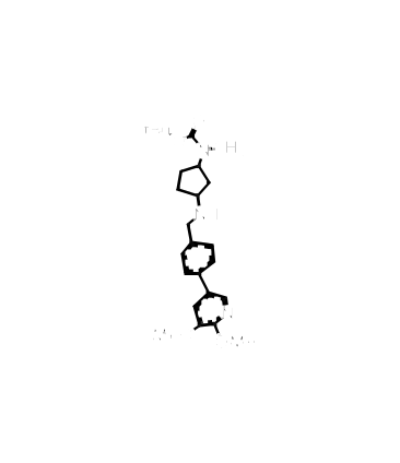 COc1cc(-c2ccc(CNC3CCC(N(C)C(=O)OC(C)(C)C)C3)cc2)cnc1OC